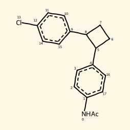 CC(=O)Nc1ccc(C2CCC2c2ccc(Cl)cc2)cc1